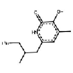 Cc1cc(CC(C)CC(C)(C)C)[nH]c(=O)c1O